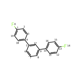 Fc1ccc(-c2c[c]cc(-c3ccc(F)cc3)c2)cc1